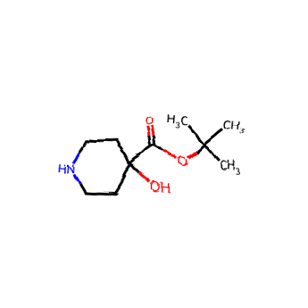 CC(C)(C)OC(=O)C1(O)CCNCC1